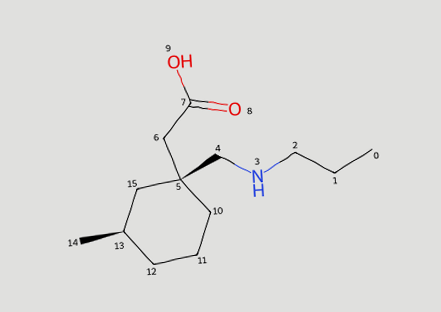 CCCNC[C@@]1(CC(=O)O)CCC[C@@H](C)C1